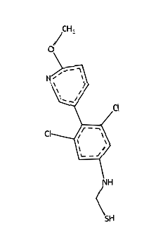 COc1ccc(-c2c(Cl)cc(NCS)cc2Cl)cn1